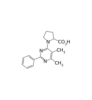 Cc1nc(-c2ccccc2)nc(N2CCCC2C(=O)O)c1C